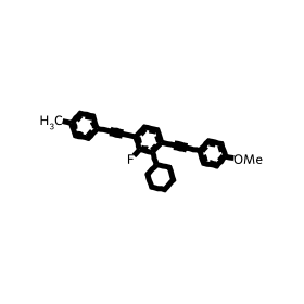 COc1ccc(C#Cc2ccc(C#Cc3ccc(C)cc3)c(F)c2C2CCCCC2)cc1